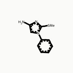 CSc1nc(N)cn1-c1ccccc1